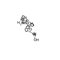 C[C@@H](NC(=O)c1c(N)nn2cccnc12)c1cc2cccc(C#Cc3cnn(CCO)c3)c2c(=O)n1-c1ccccc1